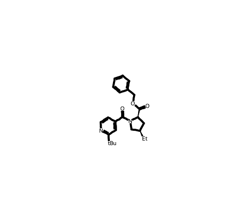 CC[C@@H]1C[C@H](C(=O)OCc2ccccc2)N(C(=O)c2ccnc(C(C)(C)C)c2)C1